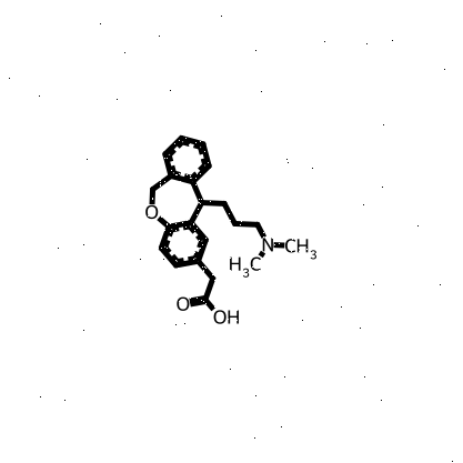 CN(C)CCCC1c2ccccc2COc2ccc(CC(=O)O)cc21